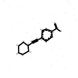 C=C(C)c1ccc(C#CC2CCCCC2)cc1